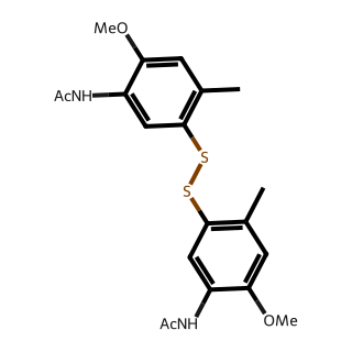 COc1cc(C)c(SSc2cc(NC(C)=O)c(OC)cc2C)cc1NC(C)=O